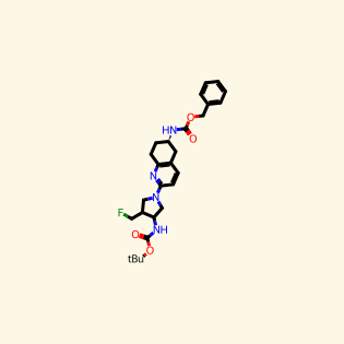 CC(C)(C)OC(=O)NC1CN(c2ccc3c(n2)CC[C@H](NC(=O)OCc2ccccc2)C3)CC1CF